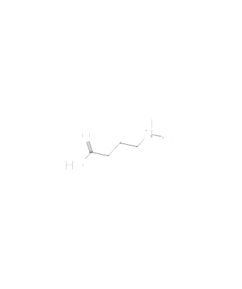 O=C(O)CCCNCl